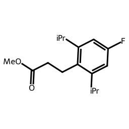 COC(=O)CCc1c(C(C)C)cc(F)cc1C(C)C